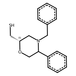 SC[C@@H]1CN(Cc2ccccc2)C(c2ccccc2)CO1